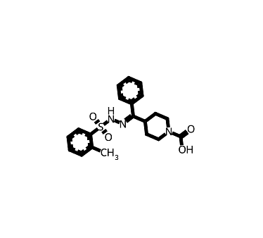 Cc1ccccc1S(=O)(=O)NN=C(c1ccccc1)C1CCN(C(=O)O)CC1